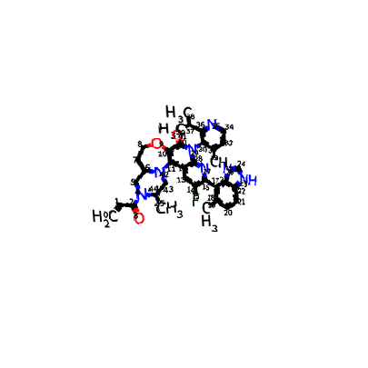 C=CC(=O)N1CC2CCOc3c(c4cc(F)c(-c5c(C)ccc6[nH]cnc56)nc4n(-c4c(C)ccnc4C(C)C)c3=O)N2CC1C